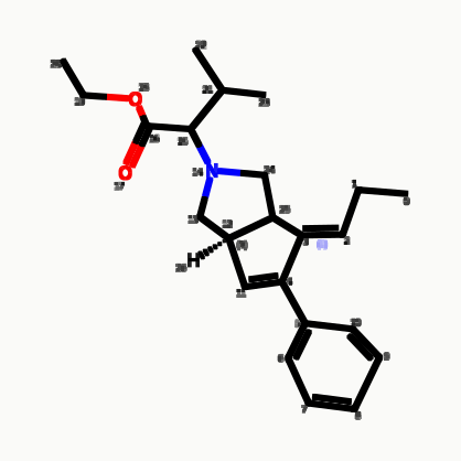 CC/C=C1/C(c2ccccc2)=C[C@H]2CN(C(C(=O)OCC)C(C)C)CC12